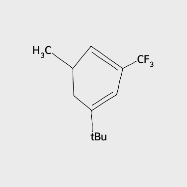 CC1C=C(C(F)(F)F)C=C(C(C)(C)C)C1